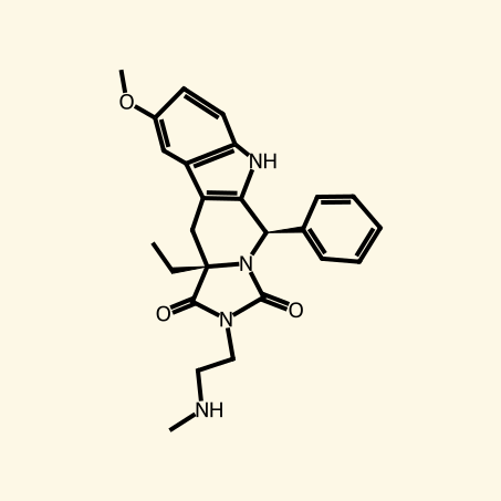 CC[C@@]12Cc3c([nH]c4ccc(OC)cc34)[C@@H](c3ccccc3)N1C(=O)N(CCNC)C2=O